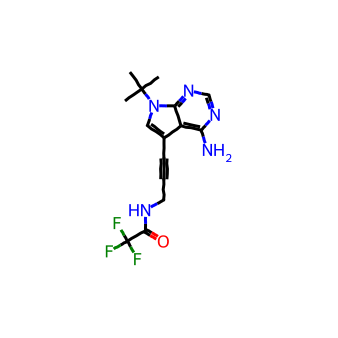 CC(C)(C)n1cc(C#CCNC(=O)C(F)(F)F)c2c(N)ncnc21